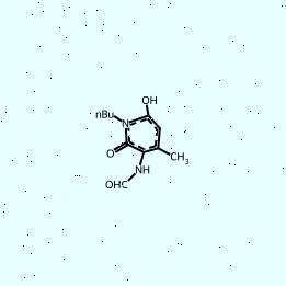 CCCCn1c(O)cc(C)c(NC=O)c1=O